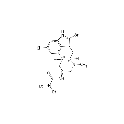 CCN(CC)C(=O)N[C@H]1C[C@@H]2c3cc(Cl)cc4[nH]c(Br)c(c34)C[C@H]2N(C)C1